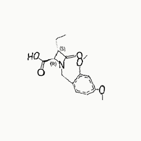 CC[C@@H]1C(=O)N(Cc2ccc(OC)cc2OC)[C@H]1C(=O)O